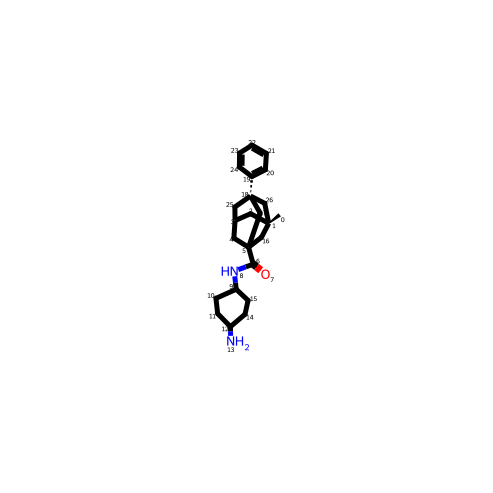 C[C@]12CC3CC(C(=O)NC4CCC(N)CC4)(C1)C[C@@](c1ccccc1)(C3)C2